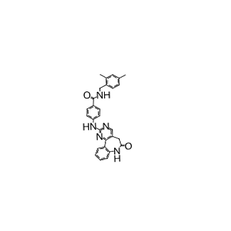 Cc1ccc(CNC(=O)c2ccc(Nc3ncc4c(n3)-c3ccccc3NC(=O)C4)cc2)c(C)c1